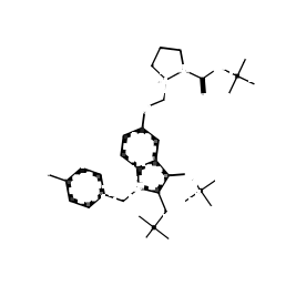 CC(C)(O)Cc1c(SC(C)(C)C)c2cc(OC[C@H]3CCCN3C(=O)OC(C)(C)C)ccc2n1Cc1ccc(Cl)cc1